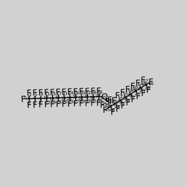 FC(F)(F)C(F)(F)C(F)(F)C(F)(F)C(F)(F)C(F)(F)C(F)(F)C(F)(F)C(F)(F)C(F)(F)C(F)(F)C(F)(F)C(F)(F)O[Si](F)(F)C(F)(F)C(F)(F)C(F)(F)C(F)(F)C(F)(F)C(F)(F)C(F)(F)C(F)(F)F